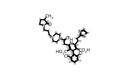 CC1CCN(CCCN2CCN(C(=O)CC3=C(C(=O)O)C(c4c(Cl)cccc4Cl)C(C(=O)O)=C(CCc4nccs4)N3)CC2)C1=O